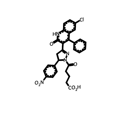 O=C(O)CCCC(=O)N1N=C(c2c(-c3ccccc3)c3cc(Cl)ccc3[nH]c2=O)CC1c1ccc([N+](=O)[O-])cc1